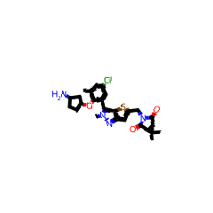 Cc1cc(Cl)cc(-c2c3sc(CN4C(=O)C5C(C4=O)C5(C)C)cc3nn2C)c1OC1CCC(N)C1